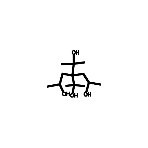 CC(O)CC(CC(C)O)(C(C)(C)O)C(C)(C)O